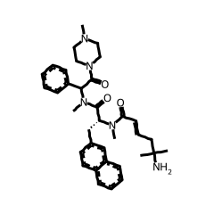 CN1CCN(C(=O)C(c2ccccc2)N(C)C(=O)[C@@H](Cc2ccc3ccccc3c2)N(C)C(=O)/C=C/CC(C)(C)N)CC1